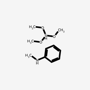 CNc1ccccc1.CO[SiH](OC)OC